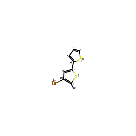 Cc1sc(-c2cccs2)cc1Br